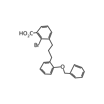 O=C(O)c1cccc(CCCc2ccccc2OCc2ccccc2)c1Br